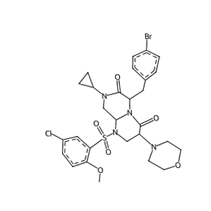 COc1ccc(Cl)cc1S(=O)(=O)N1CC(N2CCOCC2)C(=O)N2C(Cc3ccc(Br)cc3)C(=O)N(C3CC3)CC21